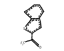 O=C(c1cc2ccccc2s1)C(F)(F)F